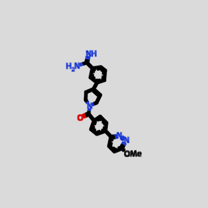 COc1ccc(-c2ccc(C(=O)N3CC=C(c4cccc(C(=N)N)c4)CC3)cc2)nn1